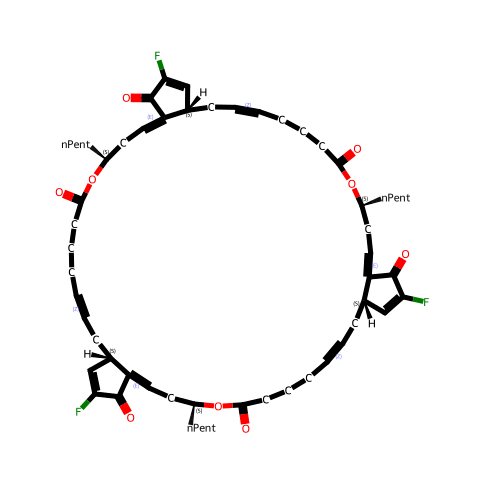 CCCCC[C@H]1C/C=C2/C(=O)C(F)=C[C@@H]2C/C=C\CCCC(=O)O[C@@H](CCCCC)C/C=C2/C(=O)C(F)=C[C@@H]2C/C=C\CCCC(=O)O[C@@H](CCCCC)C/C=C2/C(=O)C(F)=C[C@@H]2C/C=C\CCCC(=O)O1